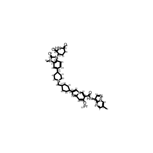 Cc1cnc2c(NC(=O)c3cn4cc(C5CCC(CN6CCC(c7ccc8c(c7)n(C)c(=O)n8C7CCC(=O)NC7=O)CC6)CC5)nc4cc3OC(C)C)cnn2c1